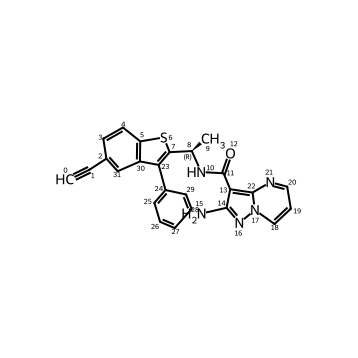 C#Cc1ccc2sc([C@@H](C)NC(=O)c3c(N)nn4cccnc34)c(-c3ccccc3)c2c1